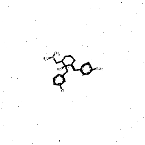 COc1ccc(C=C2CCCC(CN(C)C)C2(O)Cc2cccc(Cl)c2)cc1